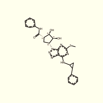 CSc1nc(NC2CC2c2ccccc2)c2nnn([C@@H]3C[C@H](C(=O)Nc4ccccc4)[C@@H](O)[C@H]3O)c2n1